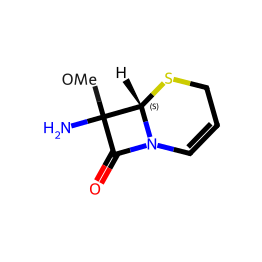 COC1(N)C(=O)N2C=CCS[C@H]21